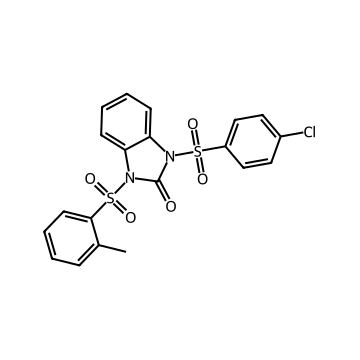 Cc1ccccc1S(=O)(=O)n1c(=O)n(S(=O)(=O)c2ccc(Cl)cc2)c2ccccc21